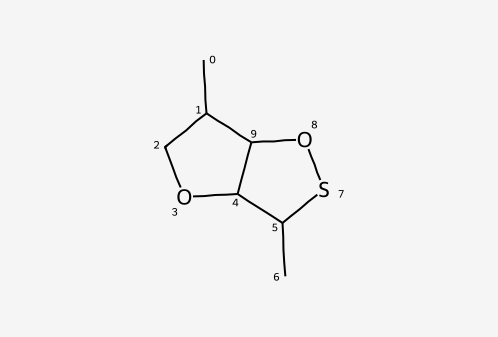 CC1COC2C(C)SOC12